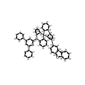 c1ccc(-c2cc(-c3ccccc3)nc(N3c4ccccc4C4(c5ccccc5-c5ccc(-c6ccc7oc8ccccc8c7c6)cc54)c4ccccc43)c2)cc1